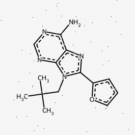 CC(C)(C)Cn1c(-c2cc[c]o2)nc2c(N)ncnc21